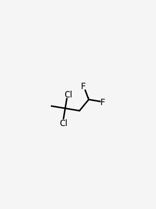 CC(Cl)(Cl)C[C](F)F